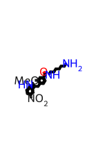 COc1cc(C(=O)NCCCCCCN)ccc1Cc1c[nH]c2ccc([N+](=O)[O-])cc12